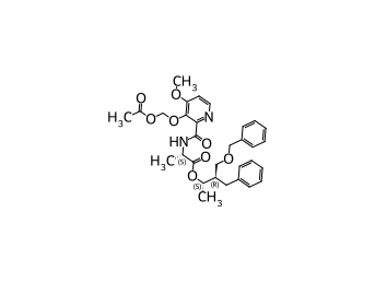 COc1ccnc(C(=O)N[C@@H](C)C(=O)O[C@@H](C)[C@@H](COCc2ccccc2)Cc2ccccc2)c1OCOC(C)=O